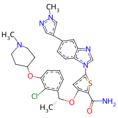 C[C@@H](Oc1cc(-n2cnc3cc(-c4cnn(C)c4)ccc32)sc1C(N)=O)c1cccc(OC2CCN(C)CC2)c1Cl